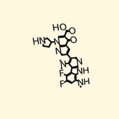 CNc1cc(F)c(F)c2c1[nH]c1ncc(-c3cnc4c(c3)c(=O)c(C(=O)O)cn4C3CCNC3)c(N(C)C)c12